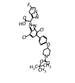 CC(C)(C)OC(=O)N1CCC(Oc2ccc(-c3cc(Cl)c4cn(C(C(=O)O)c5ncn6c5C[C@@H](F)C6)nc4c3Cl)cc2)CC1